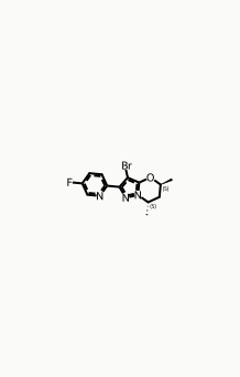 C[C@H]1C[C@H](C)n2nc(-c3ccc(F)cn3)c(Br)c2O1